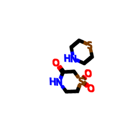 C1CSCCN1.O=C1CS(=O)(=O)CCN1